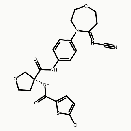 N#C/N=C1\CCOCCN1c1ccc(NC(=O)[C@@]2(NC(=O)c3ccc(Cl)s3)CCOC2)cc1